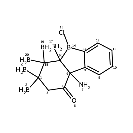 BC1(B)CC(=O)C2(N)c3ccccc3B(Cl)C2(B)C1(B)B